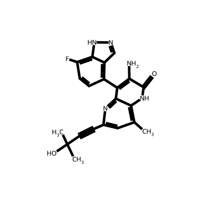 Cc1cc(C#CC(C)(C)O)nc2c(-c3ccc(F)c4[nH]ncc34)c(N)c(=O)[nH]c12